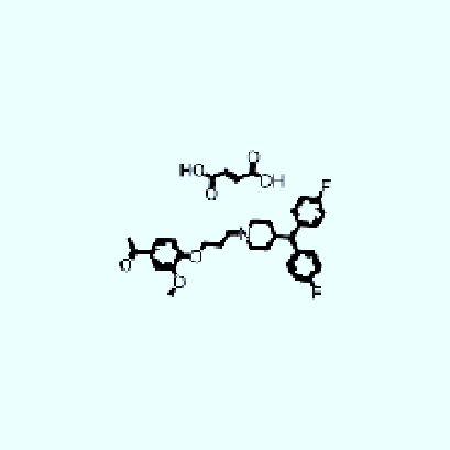 COc1cc(C(C)=O)ccc1OCCCN1CCC(C(c2ccc(F)cc2)c2ccc(F)cc2)CC1.O=C(O)/C=C/C(=O)O